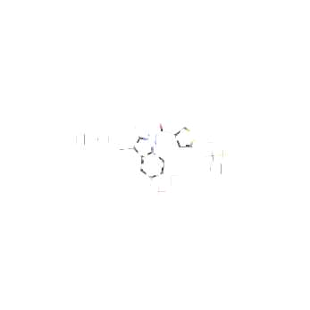 Cc1c(CC(=O)O)c2cc(O)c(F)cc2n1C(=O)c1csc(SC(F)(F)C(F)(F)F)c1